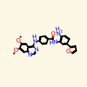 COc1cc2ncnc(Nc3ccc(C(=O)Nc4cc(-c5ccco5)ccc4N)cc3)c2cc1OC